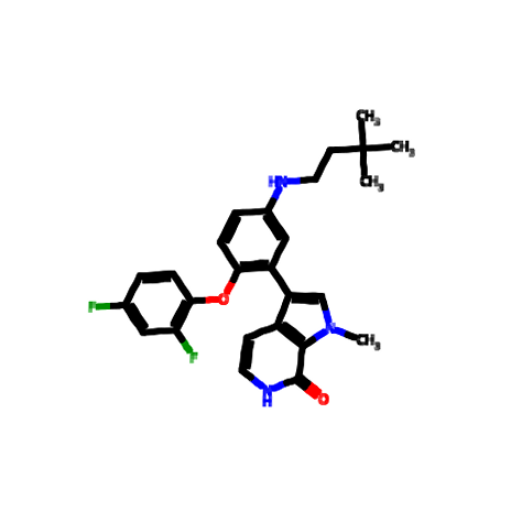 Cn1cc(-c2cc(NCCC(C)(C)C)ccc2Oc2ccc(F)cc2F)c2cc[nH]c(=O)c21